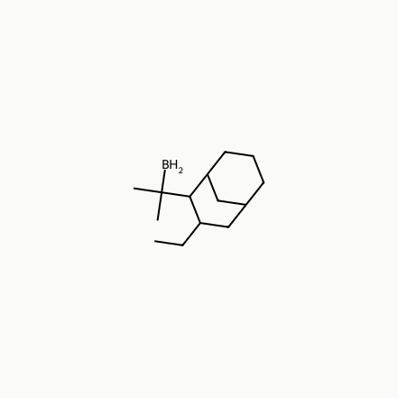 BC(C)(C)C1C(CC)CC2CCCC1C2